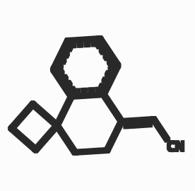 N#C/C=C1\CCC2(CCC2)c2ccccc21